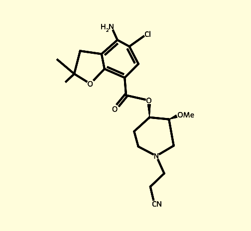 CO[C@H]1CN(CCC#N)CC[C@H]1OC(=O)c1cc(Cl)c(N)c2c1OC(C)(C)C2